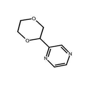 c1cnc(C2COCCO2)cn1